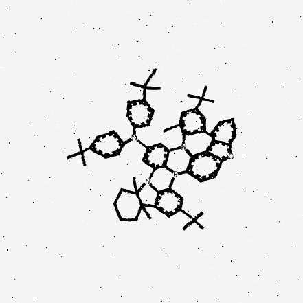 Cc1cc(C(C)(C)C)cc(C)c1N1c2cc(N(c3ccc(C(C)(C)C)cc3)c3ccc(C(C)(C)C)cc3)cc3c2B(c2cc(C(C)(C)C)cc4c2N3C2(C)CCCCC42C)c2ccc3oc4ccccc4c3c21